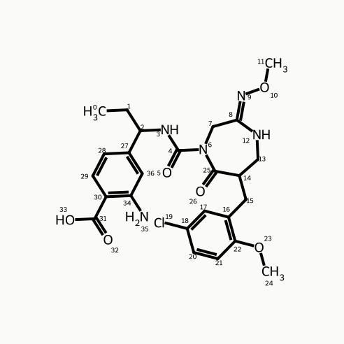 CCC(NC(=O)N1C/C(=N/OC)NCC(Cc2cc(Cl)ccc2OC)C1=O)c1ccc(C(=O)O)c(N)c1